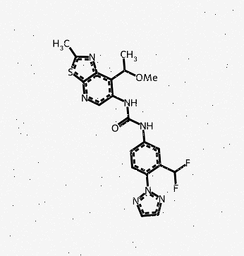 COC(C)c1c(NC(=O)Nc2ccc(-n3nccn3)c(C(F)F)c2)cnc2sc(C)nc12